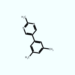 Cc1cc(C)cc(-c2cnc(C)nc2)c1